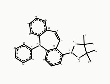 CC1(C)OB(c2cccc3c2C=Cc2ccccc2N3c2ccccc2)OC1(C)C